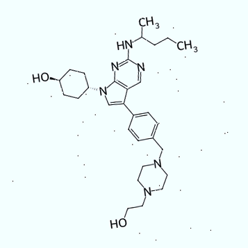 CCCC(C)Nc1ncc2c(-c3ccc(CN4CCN(CCO)CC4)cc3)cn([C@H]3CC[C@H](O)CC3)c2n1